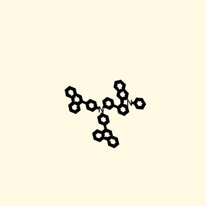 c1ccc(-n2c3cc4ccccc4cc3c3c(-c4cccc(N(c5ccc(-c6cc7ccccc7c7ccccc67)cc5)c5ccc(-c6cc7ccccc7c7ccccc67)cc5)c4)cccc32)cc1